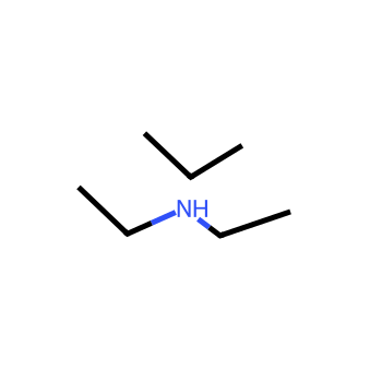 CCC.CCNCC